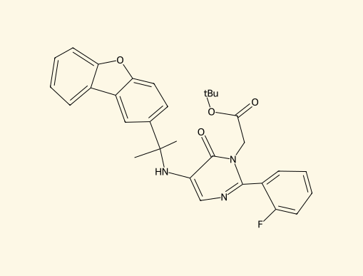 CC(C)(C)OC(=O)Cn1c(-c2ccccc2F)ncc(NC(C)(C)c2ccc3oc4ccccc4c3c2)c1=O